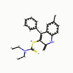 C=C1Nc2ccc(C)cc2C(c2ccccc2)=C1SC(=S)N(CC)CC